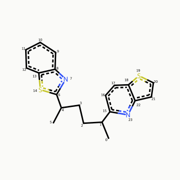 CC(CCC(C)c1nc2ccccc2s1)c1ccc2sccc2n1